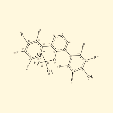 Cc1c(F)c(F)c(-c2cccc(-c3c(F)c(F)c(F)c(F)c3F)c2OC(C)(C)C)c(F)c1F